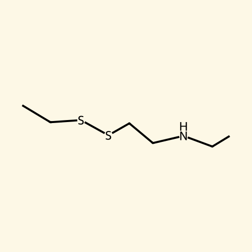 CCNCCSSCC